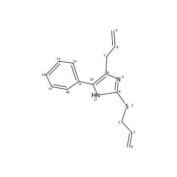 C=CCSc1nc(CC=C)c(-c2ccccc2)[nH]1